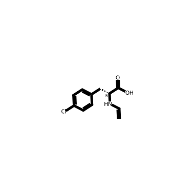 C=CN[C@H](Cc1ccc(Cl)cc1)C(=O)O